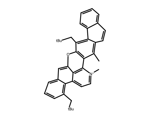 Cc1c2c(c(CC(C)(C)C)c3c1ccc1ccccc13)Oc1cc3cccc(CC(C)(C)C)c3c3cc[n+](C)c-2c13